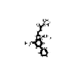 CNC(=O)CCc1nc2c(C)cc(C3=CCCC=C3)cc2n1C